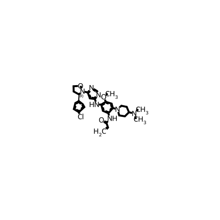 C=CC(=O)Nc1cc(Nc2cc(N3OCC[C@@H]3c3ccc(Cl)cc3)ncn2)c(OC)cc1N1CCC(N(C)C)CC1